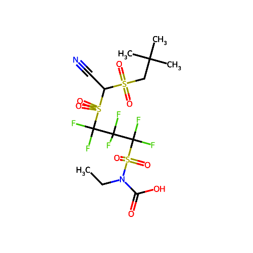 CCN(C(=O)O)S(=O)(=O)C(F)(F)C(F)(F)C(F)(F)S(=O)(=O)C(C#N)S(=O)(=O)CC(C)(C)C